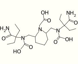 CCC(CC)(C(N)=O)N(CC1CCCC(CN(C(=O)O)C(CC)(CC)C(N)=O)N1CC(=O)O)C(=O)O